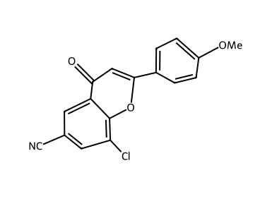 COc1ccc(-c2cc(=O)c3cc(C#N)cc(Cl)c3o2)cc1